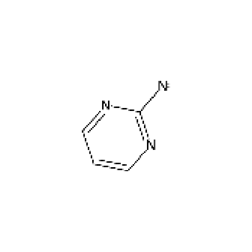 [N]c1ncccn1